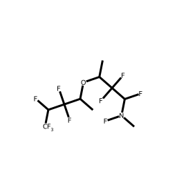 CC(OC(C)C(F)(F)C(F)C(F)(F)F)C(F)(F)C(F)N(C)F